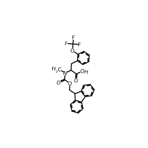 CN(C(=O)OCC1c2ccccc2-c2ccccc21)C(Cc1ccccc1OC(F)(F)F)C(=O)O